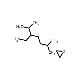 C1CO1.CC(C)CCC(CN)C(C)C